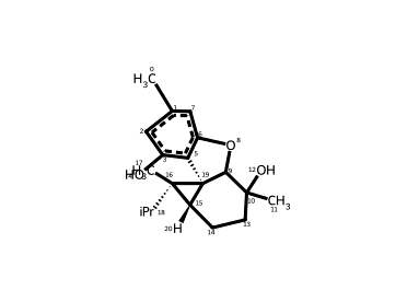 Cc1cc(O)c2c(c1)OC1C(C)(O)CC[C@@H]3[C@](C)(C(C)C)[C@@]213